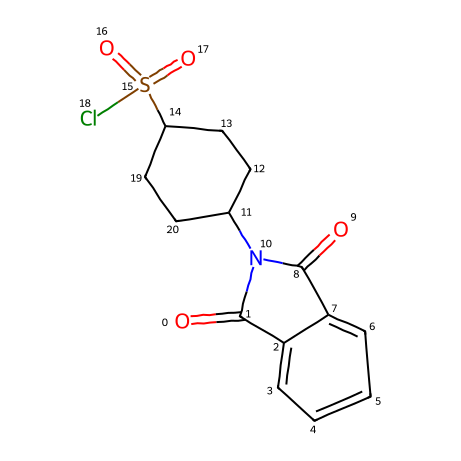 O=C1c2ccccc2C(=O)N1C1CCC(S(=O)(=O)Cl)CC1